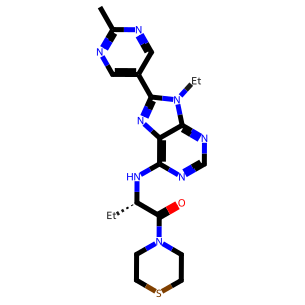 CC[C@H](Nc1ncnc2c1nc(-c1cnc(C)nc1)n2CC)C(=O)N1CCSCC1